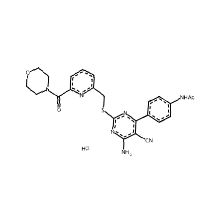 CC(=O)Nc1ccc(-c2nc(SCc3cccc(C(=O)N4CCOCC4)n3)nc(N)c2C#N)cc1.Cl